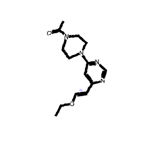 CCO/C=C/c1cc(N2CCN(C(C)=O)CC2)ncn1